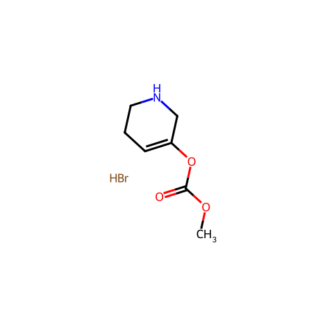 Br.COC(=O)OC1=CCCNC1